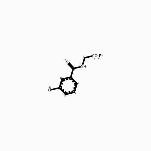 CCOC(=O)CNC(=S)c1cccc(Cl)c1